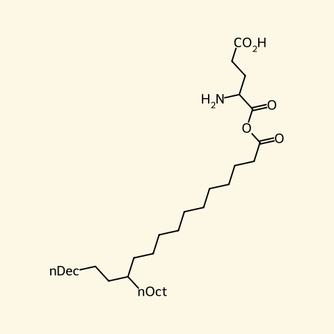 CCCCCCCCCCCCC(CCCCCCCC)CCCCCCCCCCC(=O)OC(=O)C(N)CCC(=O)O